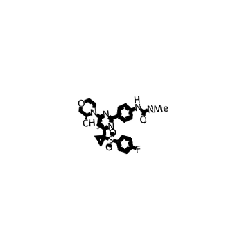 CNC(=O)Nc1ccc(-c2nc(N3CCOC[C@@H]3C)cc(C3(S(=O)(=O)c4ccc(F)cc4)CC3)n2)cc1